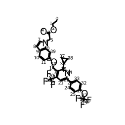 CCOC(=O)Cn1ccc2ccc(OCc3c(C(F)(F)F)cc(-c4ccc(OC(F)(F)F)cc4)nc3C3CC3)cc21